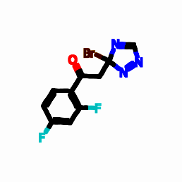 O=C(CC1(Br)N=CN=N1)c1ccc(F)cc1F